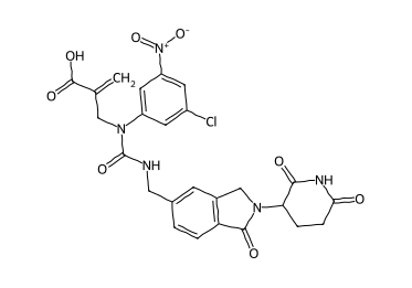 C=C(CN(C(=O)NCc1ccc2c(c1)CN(C1CCC(=O)NC1=O)C2=O)c1cc(Cl)cc([N+](=O)[O-])c1)C(=O)O